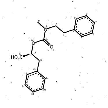 CN(CCc1ccccc1)C(=O)O[C@@H](Cc1ccccc1)C(=O)O